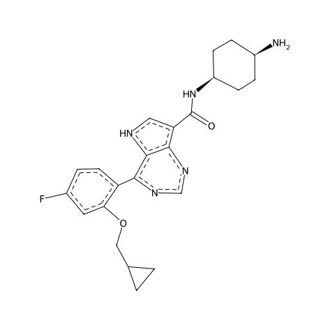 N[C@H]1CC[C@@H](NC(=O)c2c[nH]c3c(-c4ccc(F)cc4OCC4CC4)ncnc23)CC1